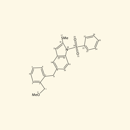 COCc1ccccc1Cc1ccc2c(c1)cc(SC)n2S(=O)(=O)c1ccccc1